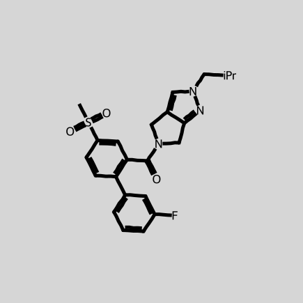 CC(C)Cn1cc2c(n1)CN(C(=O)c1cc(S(C)(=O)=O)ccc1-c1cccc(F)c1)C2